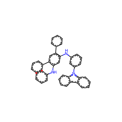 c1ccc(Nc2cc(Nc3cccc(-n4c5ccccc5c5ccccc54)c3)c(-c3ccccc3)cc2-c2ccccc2)cc1